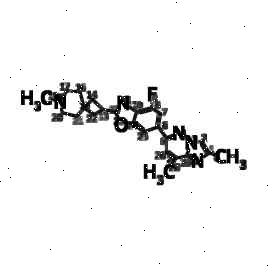 Cc1cn2nc(-c3cc(F)c4nc(C5CC6(CCN(C)CC6)C5)oc4c3)cc(C)c2n1